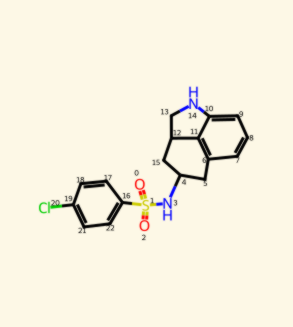 O=S(=O)(NC1Cc2cccc3c2C(CN3)C1)c1ccc(Cl)cc1